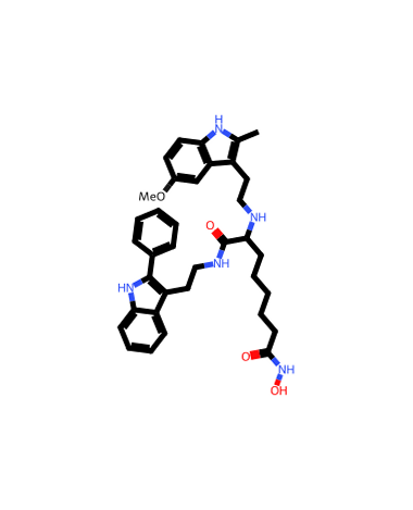 COc1ccc2[nH]c(C)c(CCNC(CCCCCC(=O)NO)C(=O)NCCc3c(-c4ccccc4)[nH]c4ccccc34)c2c1